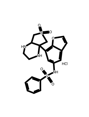 Cl.O=S1(=O)CC2NCCNC2(c2cc(NS(=O)(=O)c3ccccc3)cc3ccoc23)C1